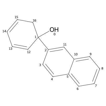 OC1(c2ccc3ccccc3c2)C=CC=CC1